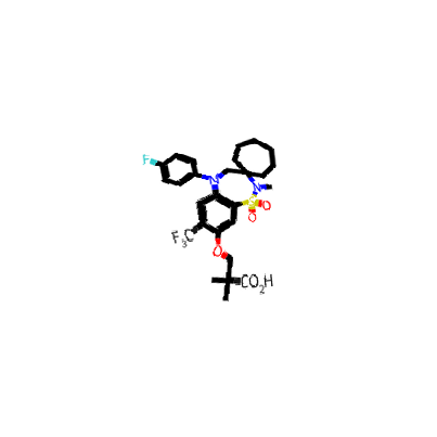 CN1C2(CCCCCC2)CN(c2ccc(F)cc2)c2cc(C(F)(F)F)c(OCC(C)(C)C(=O)O)cc2S1(=O)=O